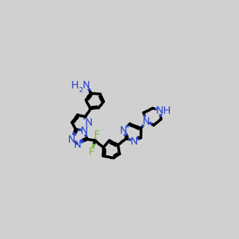 Nc1cccc(-c2ccc3nnc(C(F)(F)c4cccc(-c5ncc(N6CCNCC6)cn5)c4)n3n2)c1